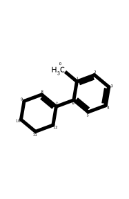 Cc1ccccc1C1=CCCCC1